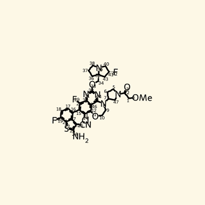 COCC(=O)N1CCC(N2CCOc3c(Cl)c(-c4ccc(F)c5sc(N)c(C#N)c45)c(F)c4nc(OC[C@@]56CCCN5C[C@H](F)C6)nc2c34)C1